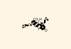 CN(C)CCn1nc(-c2cnc3c(n2)c(C(=O)O)cn3COCC[Si](C)(C)C)c2c(F)cc(Cl)cc21